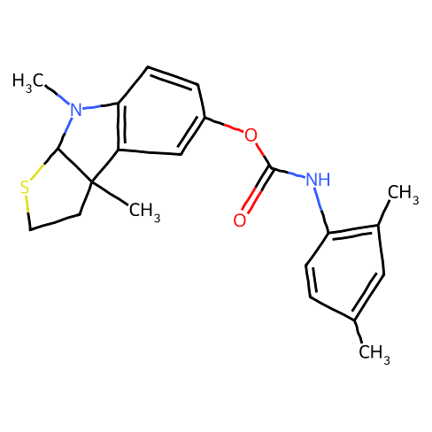 Cc1ccc(NC(=O)Oc2ccc3c(c2)C2(C)CCSC2N3C)c(C)c1